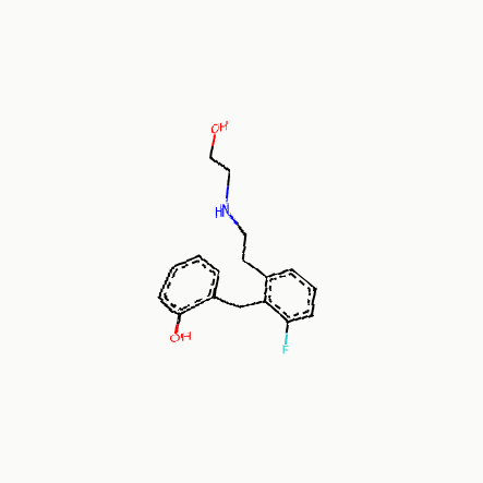 OCCNCCc1cccc(F)c1Cc1ccccc1O